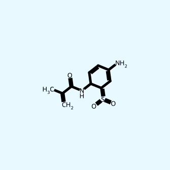 C=C(C)C(=O)NC1C=CC(N)=CC1=S(=O)=O